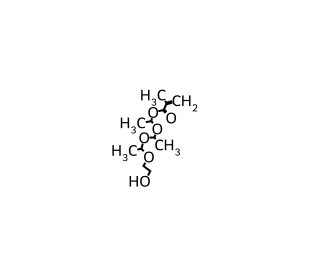 C=C(C)C(=O)OC(C)OC(C)OC(C)OCCO